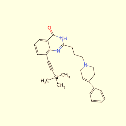 C[Si](C)(C)C#Cc1cccc2c(=O)[nH]c(CCCN3CC=C(c4ccccc4)CC3)nc12